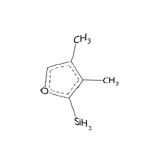 Cc1coc([SiH3])c1C